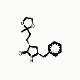 CC1(CC[C@H]2C[C@@H](Cc3ccccc3)NC2=O)OCCO1